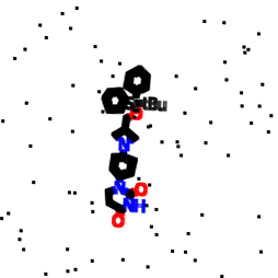 CC(C)(C)[Si](OCC1CN(c2ccc(N3CCC(=O)NC3=O)cc2)C1)(c1ccccc1)c1ccccc1